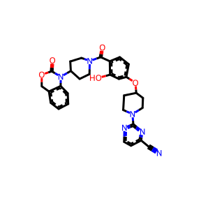 N#Cc1ccnc(N2CCC(Oc3ccc(C(=O)N4CCC(N5C(=O)OCc6ccccc65)CC4)c(O)c3)CC2)n1